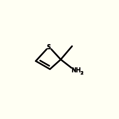 CC1(N)C=CS1